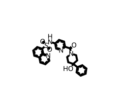 O=C(c1ccc(NS(=O)(=O)c2cccc3cccnc23)cn1)N1CCC(O)(c2ccccc2)CC1